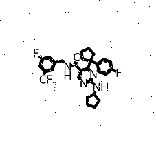 O=C(NCc1cc(F)cc(C(F)(F)F)c1)c1cnc(NC2CCCC2)nc1C1(c2ccc(F)cc2)CCCC1